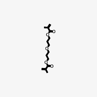 C=C(C)C(=O)OCCCOCCCOC(=O)C(=C)C